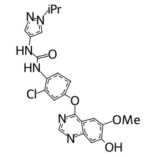 COc1cc2c(Oc3ccc(NC(=O)Nc4cnn(C(C)C)c4)c(Cl)c3)ncnc2cc1O